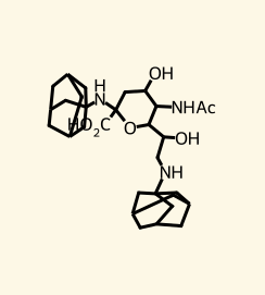 CC(=O)NC1C(O)CC(NC23CC4CC(CC(C4)C2)C3)(C(=O)O)OC1C(O)CNC12CC3CC(CC(C3)C1)C2